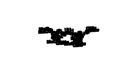 CCC(C(=O)N1CCCCC1C(=O)OC(CCc1ccc(OC)c(OC)c1)c1cccc(OCC(=O)NCNCNC(=O)COc2cccc([C@@H](CCc3ccc(OC)c(OC)c3)OC(=O)C3CCCCN3C(=O)[C@@H](CC)c3cc(OC)c(OC)c(OC)c3)c2)c1)c1cc(OC)c(OC)c(OC)c1